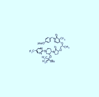 COc1ccc(Cn2ncc(O[C@@H](C)COC3CCN(C4CCN(c5ncc(C(F)(F)F)cn5)CC4O[Si](C)(C)C(C)(C)C)C3=O)c(C(F)(F)F)c2=O)cc1